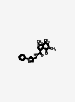 Cc1cn(C)c(=O)c2c(C(=O)NCc3cnn(-c4ccccc4)c3)cn(C)c12